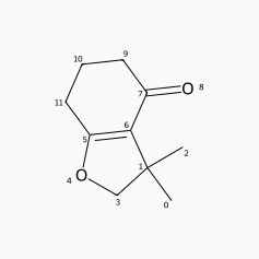 CC1(C)COC2=C1C(=O)CCC2